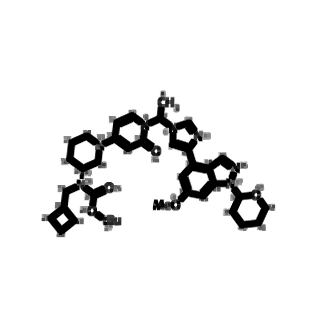 COc1cc(-c2cn(C(C)n3ccc(N4CCC[C@@H](N(CC5CCC5)C(=O)OC(C)(C)C)C4)cc3=O)cn2)c2cnn(C3CCCCO3)c2c1